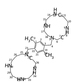 Cc1cc(CN2CCCNCCCNCCNCC2)c(C)cc1CN1CCCNCCCNCCNCC1